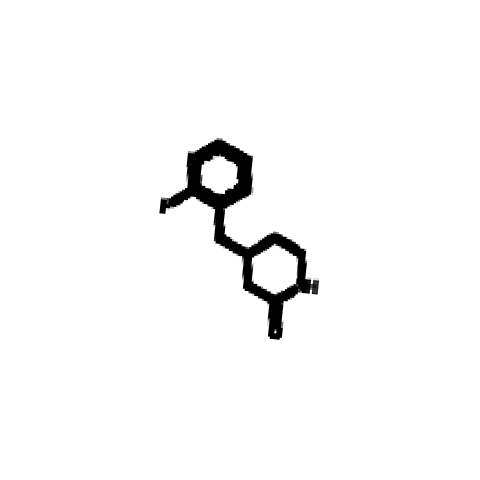 O=C1CC(Cc2cccnc2F)CCN1